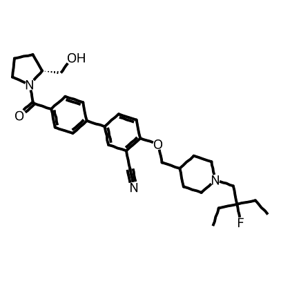 CCC(F)(CC)CN1CCC(COc2ccc(-c3ccc(C(=O)N4CCC[C@@H]4CO)cc3)cc2C#N)CC1